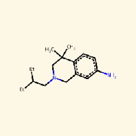 CCC(CC)CN1Cc2cc(N)ccc2C(C)(C)C1